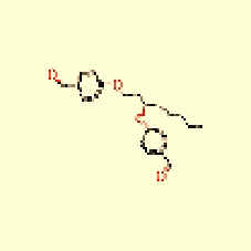 CCCCCC(CCOc1ccc(C=O)cc1)Oc1ccc(C=O)cc1